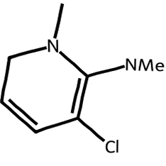 CNC1=C(Cl)C=CCN1C